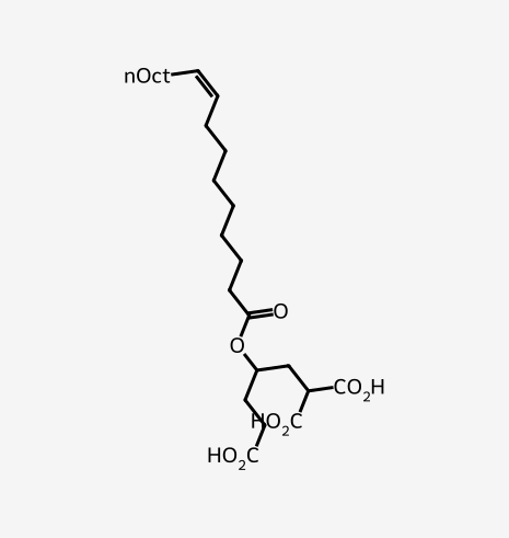 CCCCCCCC/C=C\CCCCCCCC(=O)OC(CCC(=O)O)CC(C(=O)O)C(=O)O